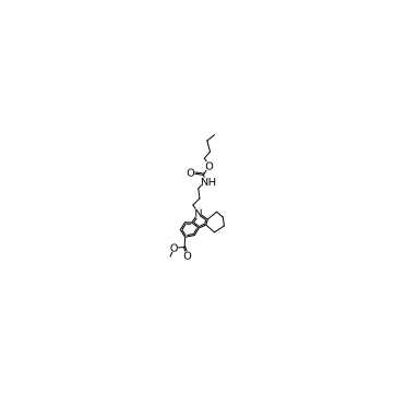 CCCCOC(=O)NCCCn1c2c(c3cc(C(=O)OC)ccc31)CCCC2